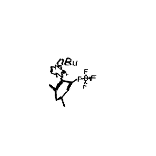 CCCCn1cc[n+](-c2c(C)cc(C)cc2C)c1.F[B-](F)(F)F